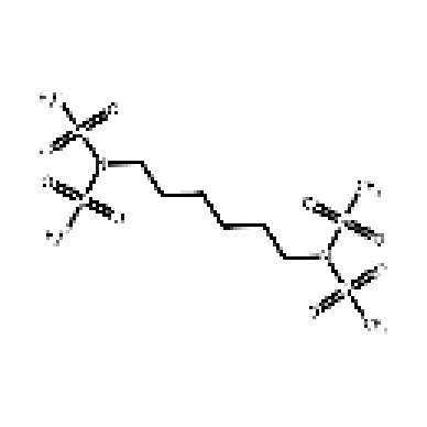 O=S(=O)(N(CCCCCCN(S(=O)(=O)C(F)(F)F)S(=O)(=O)C(F)(F)F)S(=O)(=O)C(F)(F)F)C(F)(F)F